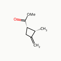 C=C1C[C@H](C(=O)OC)[C@@H]1C